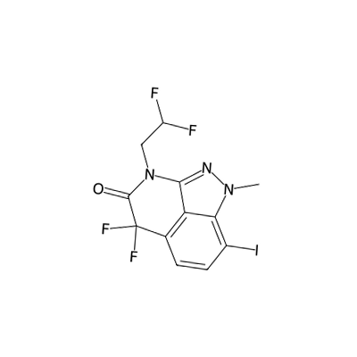 Cn1nc2c3c(ccc(I)c31)C(F)(F)C(=O)N2CC(F)F